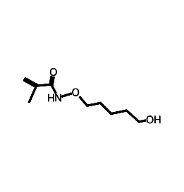 C=C(C)C(=O)NOCCCCCO